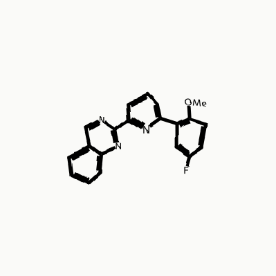 COc1ccc(F)cc1-c1cccc(-c2ncc3ccccc3n2)n1